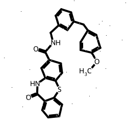 COc1ccc(Cc2cccc(CNC(=O)c3ccc4c(c3)NC(=O)c3ccccc3S4)c2)cc1